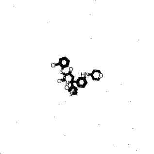 CN1C(=O)C(Sc2ccccc2Cl)C(=O)CC1(c1ccsc1)c1cccc(NC2CCOCC2)c1